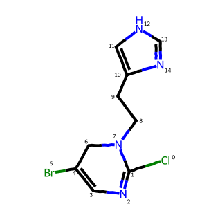 ClC1=NC=C(Br)CN1CCc1c[nH]cn1